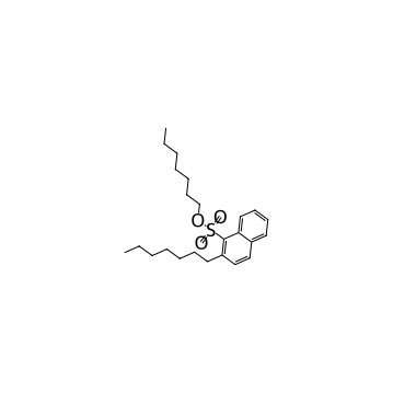 CCCCCCCOS(=O)(=O)c1c(CCCCCCC)ccc2ccccc12